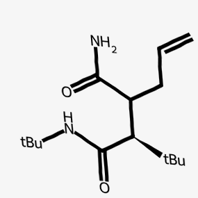 C=CCC(C(N)=O)[C@H](C(=O)NC(C)(C)C)C(C)(C)C